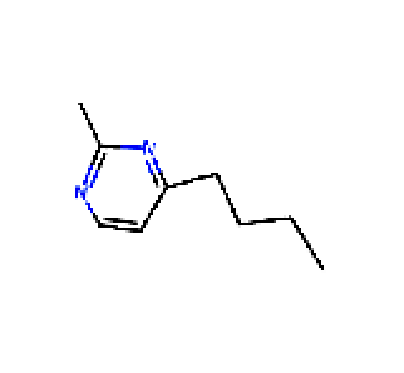 CCCCc1ccnc(C)n1